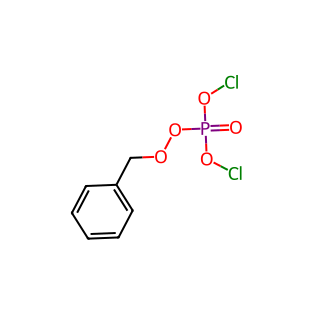 O=P(OCl)(OCl)OOCc1ccccc1